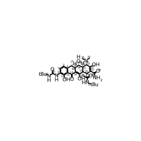 C[C@H]1c2ccc(NC(=O)NC(C)(C)C)c(O)c2C(=O)C2=C(O)[C@]3(CC(=O)NC(C)(C)C)C(=O)C(C(N)=O)=C(O)[C@@H](N(C)C)[C@@H]3[C@@H](O)[C@@H]21